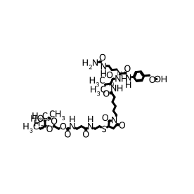 CCC(CO)OC(COC(=O)NCCC(=O)NCCSC1CC(=O)N(CCCCCC(=O)N[C@H](C(=O)N[C@@H](CCCNC(N)=O)C(=O)Nc2ccc(COO)cc2)C(C)C)C1=O)OC(C)(C)C